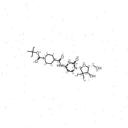 CC(C)(C)OC(=O)N1CCC(C(=O)Nc2ccn([C@@H]3O[C@H](CO)[C@@H](O)C3(F)F)c(=O)n2)CC1